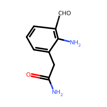 NC(=O)Cc1cccc(C=O)c1N